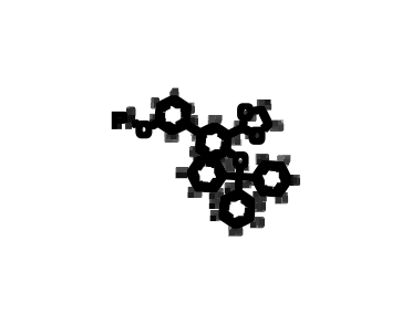 CC(C)Oc1cccc(-c2ccc(OC(c3ccccc3)(c3ccccc3)c3ccccc3)c(C3OCCO3)c2)c1